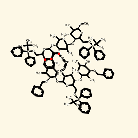 CO[C@H]1OC(CO[Si](c2ccccc2)(c2ccccc2)C(C)(C)C)[C@@H](O[C@@H]2OC(C)[C@H](O[C@@H]3OC(CO[Si](c4ccccc4)(c4ccccc4)C(C)(C)C)[C@@H](O[C@@H]4OC(C)[C@@H](OC5OC(CO[Si](c6ccccc6)(c6ccccc6)C(C)(C)C)[C@@H](O[C@@H]6OC(C)[C@@H](O)[C@@H](OCc7ccccc7)C6C)[C@H](C)C5N=[N+]=[N-])[C@@H](OCc5ccccc5)C4C)[C@H](C)C3N=[N+]=[N-])[C@@H](OCc3ccccc3)C2C)[C@H](C)C1C